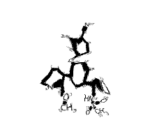 COc1ncccc1-c1cc(C(=O)NS(C)(=O)=O)ccc1Oc1ccc(C#N)cc1